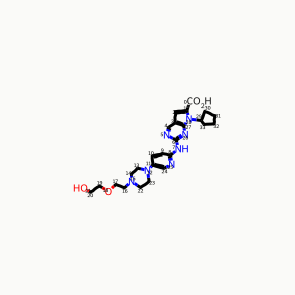 O=C(O)c1cc2cnc(Nc3ccc(N4CCN(CCOCCO)CC4)cn3)nc2n1C1CCCC1